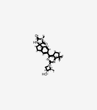 C[C@H]1[C@H](O)CN1c1nc(-c2ccc3c(c2)CCC32NC(=O)N(C)C2=O)c2c(n1)C(F)(F)CC2